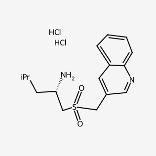 CC(C)C[C@H](N)CS(=O)(=O)Cc1cnc2ccccc2c1.Cl.Cl